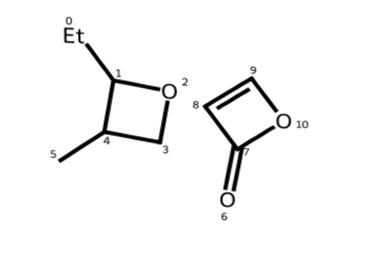 CCC1OCC1C.O=C1C=CO1